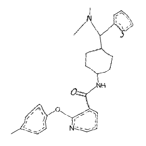 Cc1ccc(Oc2ncccc2C(=O)NC2CCC(C(c3cccs3)N(C)C)CC2)cc1